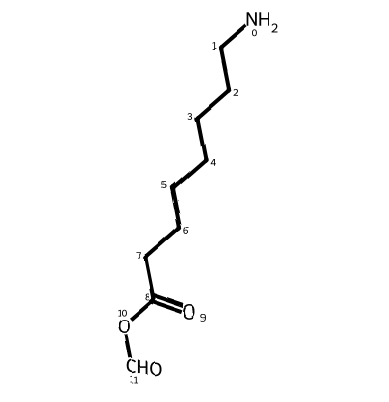 NCCCCCCCC(=O)OC=O